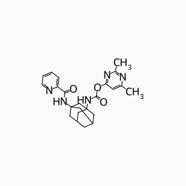 Cc1cc(OC(=O)NC23CC4CC(C2)CC(NC(=O)c2ccccn2)(C4)C3)nc(C)n1